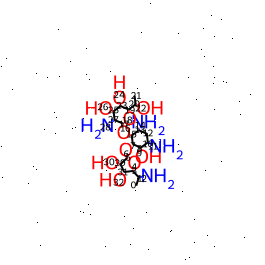 CC(N)C1OC(OC2C(O)C(N)CC(N)C2OC2OC(C(C)O)C(O)C(O)C2N)C(O)C1O